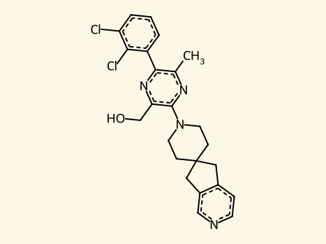 Cc1nc(N2CCC3(CC2)Cc2ccncc2C3)c(CO)nc1-c1cccc(Cl)c1Cl